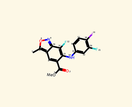 COC(=O)c1cc2c(C)onc2c(F)c1Nc1ccc(I)c(F)c1